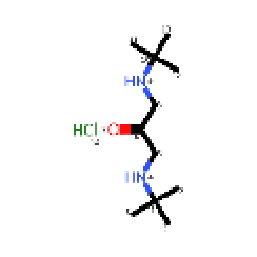 CC(C)(C)NCC(=O)CNC(C)(C)C.Cl